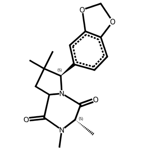 C[C@H]1C(=O)N2C(CC(C)(C)[C@H]2c2ccc3c(c2)OCO3)C(=O)N1C